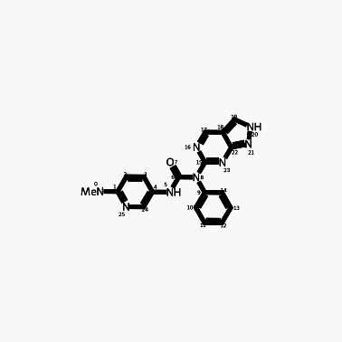 CNc1ccc(NC(=O)N(c2ccccc2)c2ncc3c[nH]nc3n2)cn1